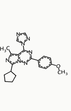 COc1ccc(-c2nc(-n3cncn3)c3c(C)nc(C4CCCC4)n3n2)cc1